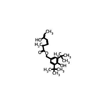 C=C(/C=C\C(O)=C/C)C(=O)OCc1cc(C(C)(C)C)c(O)c(C(C)(C)C)c1